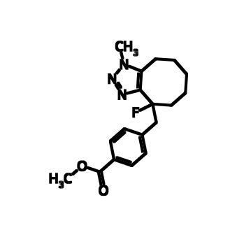 COC(=O)c1ccc(CC2(F)CCCCCc3c2nnn3C)cc1